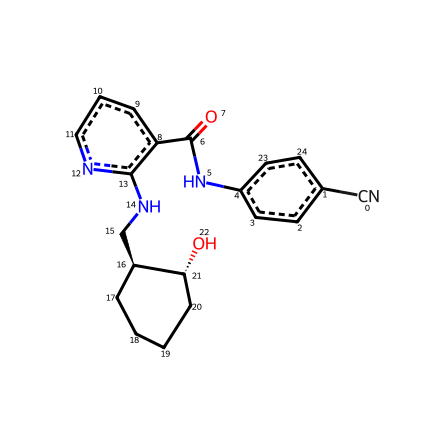 N#Cc1ccc(NC(=O)c2cccnc2NC[C@@H]2CCCC[C@H]2O)cc1